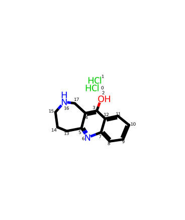 Cl.Cl.Oc1c2c(nc3ccccc13)CCCNC2